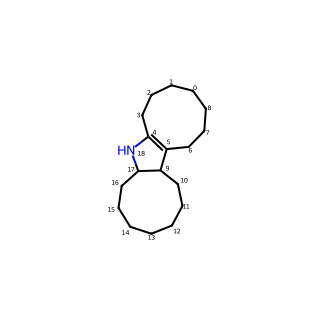 C1CCCC2=C(CCC1)C1CCCCCCCC1N2